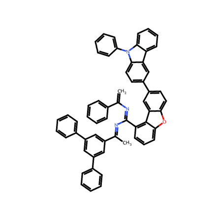 C=C(/N=C(\N=C(/C)c1cc(-c2ccccc2)cc(-c2ccccc2)c1)c1cccc2oc3ccc(-c4ccc5c(c4)c4ccccc4n5-c4ccccc4)cc3c12)c1ccccc1